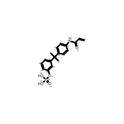 C=CC(=O)Nc1ccc(C(C)(C)c2cccc(OP(=O)(O)O)c2)cc1